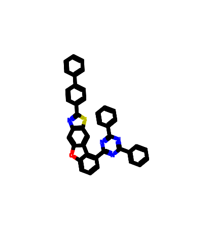 c1ccc(-c2ccc(-c3nc4cc5oc6cccc(-c7nc(-c8ccccc8)nc(-c8ccccc8)n7)c6c5cc4s3)cc2)cc1